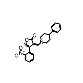 O=C1ON=C(c2ccccc2[N+](=O)[O-])C1=CN1CCC(c2ccccc2)CC1